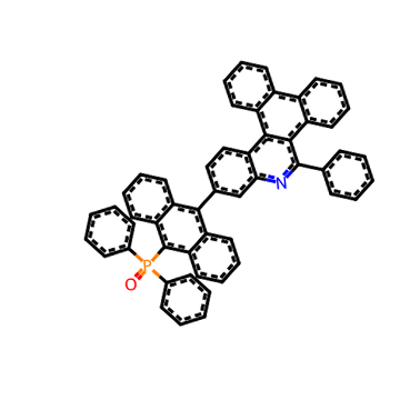 O=P(c1ccccc1)(c1ccccc1)c1c2ccccc2c(-c2ccc3c(c2)nc(-c2ccccc2)c2c4ccccc4c4ccccc4c32)c2ccccc12